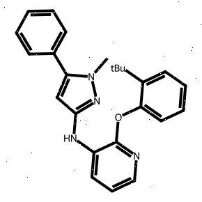 Cn1nc(Nc2cccnc2Oc2ccccc2C(C)(C)C)cc1-c1ccccc1